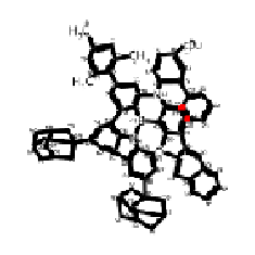 Cc1cc(C)c(-c2cc3c4c(c2)N(c2ccc(C(C)(C)C)cc2-c2ccccc2)c2ccc5c(oc6cc7ccccc7cc65)c2B4n2c4ccc(C56CC7CC(CC(C7)C5)C6)cc4c4cc(C56CC7CC(CC(C7)C5)C6)cc-3c42)c(C)c1